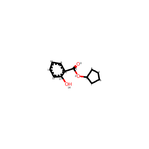 O=C(OC1CCCC1)c1ccccc1O